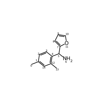 Cc1ccc(C(N)c2ccco2)c(C)c1